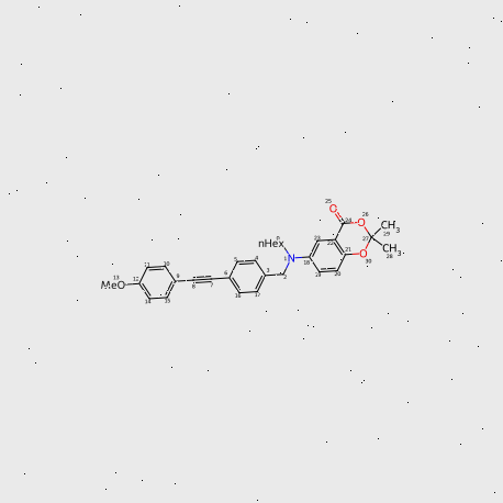 CCCCCCN(Cc1ccc(C#Cc2ccc(OC)cc2)cc1)c1ccc2c(c1)C(=O)OC(C)(C)O2